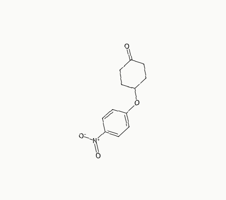 O=C1CCC(Oc2ccc([N+](=O)[O-])cc2)CC1